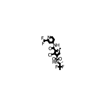 C[C@@H](NS(=O)(=O)c1cn(C)c(C(=O)Nc2ccnc(C(F)F)c2)c1Cl)C(C)(F)F